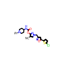 CC(C)N1CCC(NC(=O)Oc2nn(Cc3cc(-c4ccc(Cl)s4)on3)cc2C#N)CC1